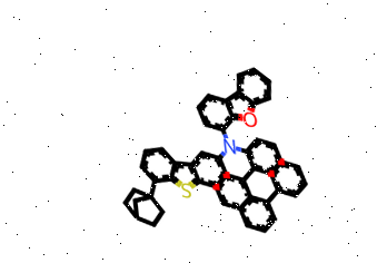 c1ccc(-c2cccc3cccc(-c4ccccc4N(c4ccc5sc6c(C78CCC(CC7)C8)cccc6c5c4)c4cccc5c4oc4ccccc45)c23)cc1